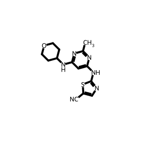 Cc1nc(Nc2ncc(C#N)s2)cc(NC2CCOCC2)n1